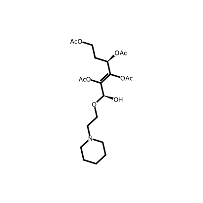 CC(=O)OCC[C@@H](OC(C)=O)/C(OC(C)=O)=C(\OC(C)=O)[C@@H](O)OCCN1CCCCC1